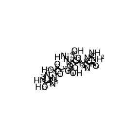 [N-]=[N+]=NC1[C@@H](OP(=O)(O)OC[C@H]2O[C@@H](n3cnc4c3N=CNC4O)[C@H](O)[C@@H]2O)[C@H](n2cnc3c(=O)[nH]c(N)nc32)O[C@@H]1CO